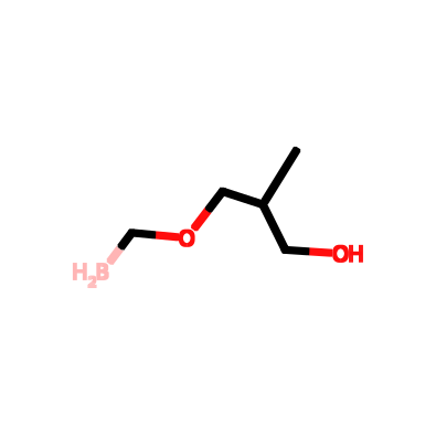 BCOCC(C)CO